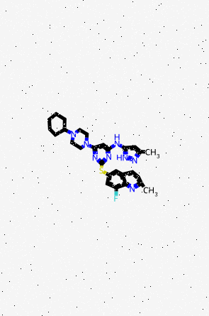 Cc1cc(Nc2cc(N3CCN(C4CCCCC4)CC3)nc(Sc3cc(F)c4nc(C)ccc4c3)n2)[nH]n1